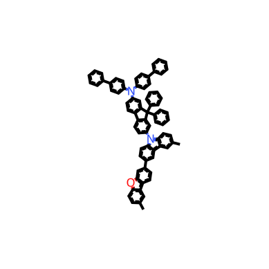 Cc1ccc2oc3cc(-c4ccc5c(c4)c4cc(C)ccc4n5-c4ccc5c(c4)C(c4ccccc4)(c4ccccc4)c4cc(N(c6ccc(-c7ccccc7)cc6)c6ccc(-c7ccccc7)cc6)ccc4-5)ccc3c2c1